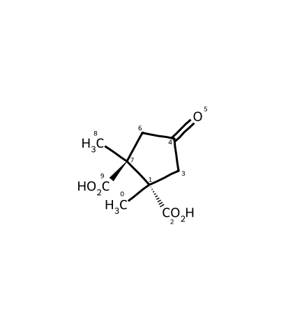 C[C@]1(C(=O)O)CC(=O)C[C@]1(C)C(=O)O